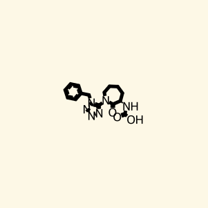 O=C(O)N[C@H]1CCCCN(c2nnnn2Cc2ccccc2)C1=O